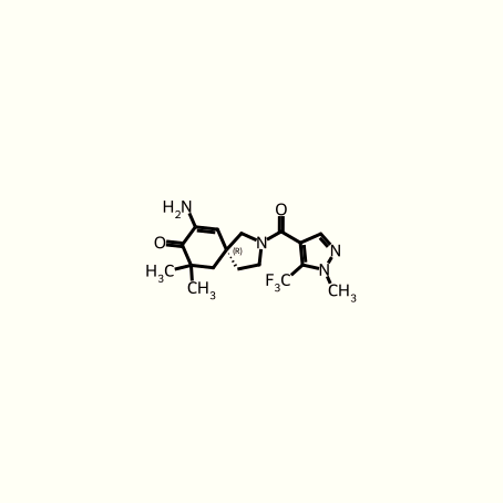 Cn1ncc(C(=O)N2CC[C@]3(C=C(N)C(=O)C(C)(C)C3)C2)c1C(F)(F)F